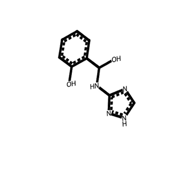 Oc1ccccc1C(O)Nc1nc[nH]n1